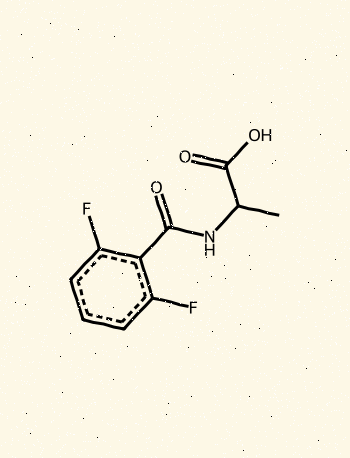 CC(NC(=O)c1c(F)cccc1F)C(=O)O